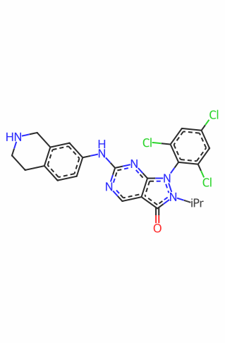 CC(C)n1c(=O)c2cnc(Nc3ccc4c(c3)CNCC4)nc2n1-c1c(Cl)cc(Cl)cc1Cl